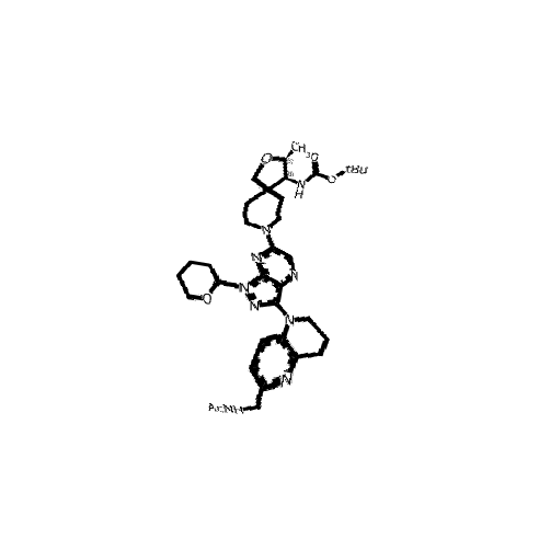 CC(=O)NCc1ccc2c(n1)CCCN2c1nn(C2CCCCO2)c2nc(N3CCC4(CC3)CO[C@@H](C)[C@H]4NC(=O)OC(C)(C)C)cnc12